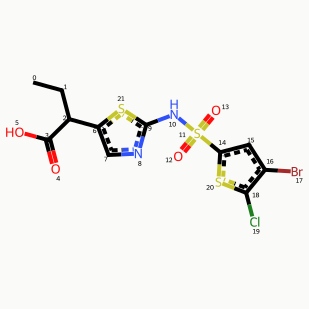 CCC(C(=O)O)c1cnc(NS(=O)(=O)c2cc(Br)c(Cl)s2)s1